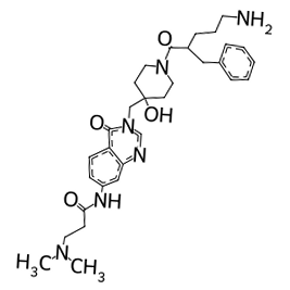 CN(C)CCC(=O)Nc1ccc2c(=O)n(CC3(O)CCN(C(=O)C(CCCN)Cc4ccccc4)CC3)cnc2c1